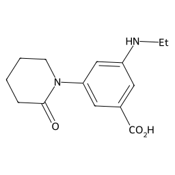 CCNc1cc(C(=O)O)cc(N2CCCCC2=O)c1